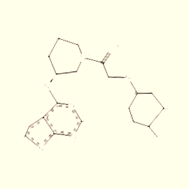 CC1CCC(NCC(=O)N2CCC[C@H](Nc3ncnc4[nH]ccc34)C2)CC1